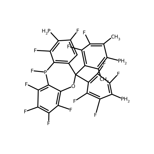 Cc1c(F)c(F)c(C2(c3c(F)c(F)c(P)c(F)c3F)Oc3c(F)c(F)c(F)c(F)c3P(F)c3c2cc(F)c(P)c3F)c(C)c1P